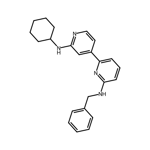 c1ccc(CNc2cccc(-c3ccnc(NC4CCCCC4)c3)n2)cc1